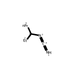 CCCC(CC)N=C=N